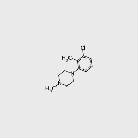 Cc1c(Cl)cccc1N1CCN(C)CC1